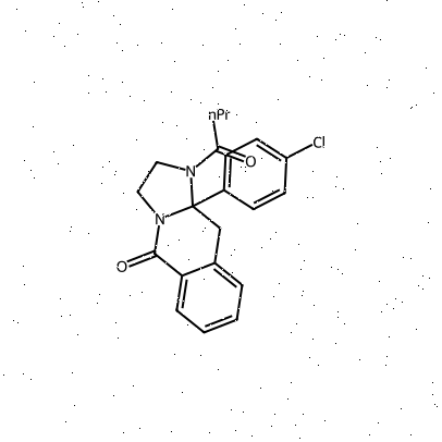 CCCC(=O)N1CCN2C(=O)c3ccccc3CC12c1ccc(Cl)cc1